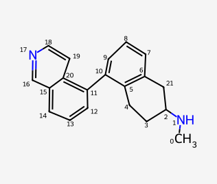 CNC1CCc2c(cccc2-c2cccc3cnccc23)C1